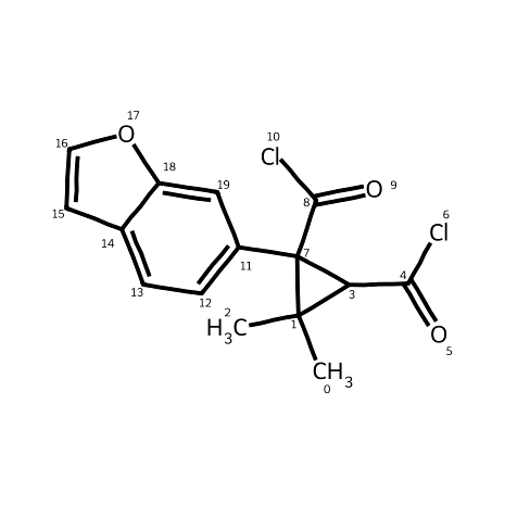 CC1(C)C(C(=O)Cl)C1(C(=O)Cl)c1ccc2ccoc2c1